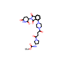 CC(C)(C)OC(=O)N[C@H]1CCN(C(=O)CCC(=O)N2CCN(c3cccc4c3C(=O)N(C3CCC(=O)NC3=O)C4=O)CC2)C1